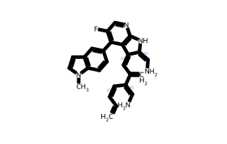 C=C/C=C\C(=C/N)C(=C)/C=c1\c(=C/N)[nH]c2ncc(F)c(-c3ccc4c(ccn4C)c3)c12